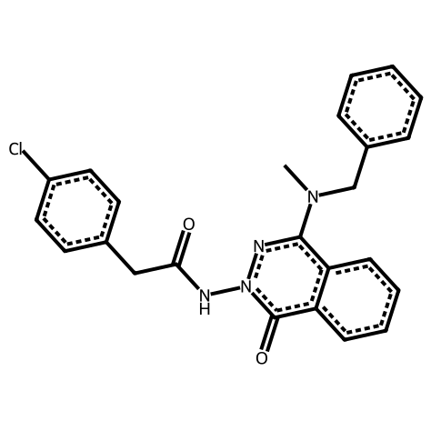 CN(Cc1ccccc1)c1nn(NC(=O)Cc2ccc(Cl)cc2)c(=O)c2ccccc12